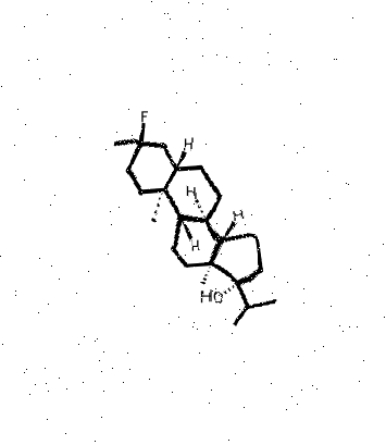 CC(C)[C@]1(O)CC[C@H]2[C@@H]3CC[C@H]4CC(C)(F)CC[C@]4(C)[C@H]3CC[C@@]21C